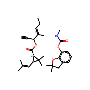 C#CC(OC(=O)[C@@H]1C(C=C(C)C)C1(C)C)/C(C)=C/CC.CNC(=O)Oc1cccc2c1OC(C)(C)C2